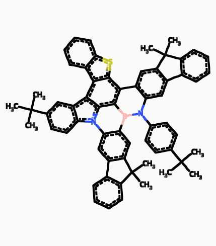 CC(C)(C)c1ccc(N2B3c4cc5c(cc4-n4c6ccc(C(C)(C)C)cc6c6c7c(sc8ccccc87)c(c3c64)-c3cc4c(cc32)-c2ccccc2C4(C)C)-c2ccccc2C5(C)C)cc1